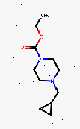 CCOC(=O)N1CCN(CC2CC2)CC1